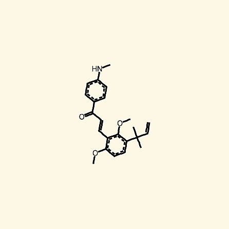 C=CC(C)(C)c1ccc(OC)c(C=CC(=O)c2ccc(NC)cc2)c1OC